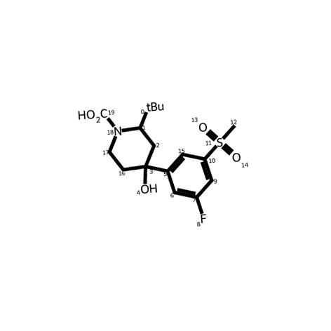 CC(C)(C)C1CC(O)(c2cc(F)cc(S(C)(=O)=O)c2)CCN1C(=O)O